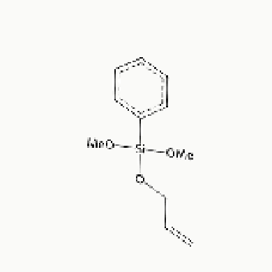 C=CCO[Si](OC)(OC)c1ccccc1